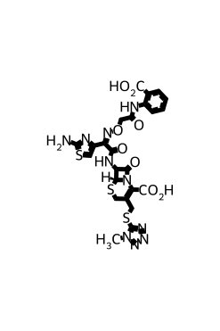 Cn1nnnc1SCC1=C(C(=O)O)N2C(=O)C(NC(=O)/C(=N\OCC(=O)Nc3ccccc3C(=O)O)c3csc(N)n3)[C@H]2SC1